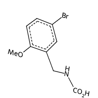 COc1ccc(Br)cc1CNC(=O)O